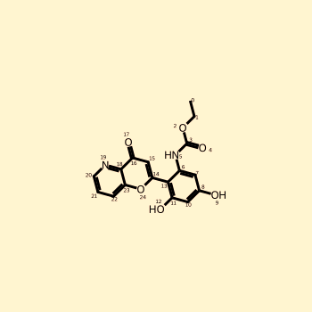 CCOC(=O)Nc1cc(O)cc(O)c1-c1cc(=O)c2ncccc2o1